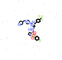 CN1CCC(CN2CCN(c3nc(CNC(=O)[C@@H]4CCCN4S(=O)(=O)c4ccc(F)cc4)cc(-c4ccc(C(F)(F)F)cc4)n3)CC2)CC1